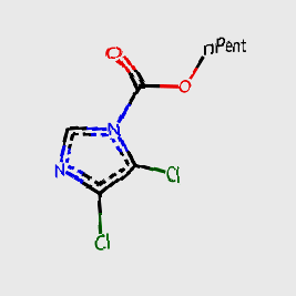 CCCCCOC(=O)n1cnc(Cl)c1Cl